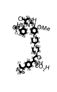 COc1cc(N2CCC(N3CCN(C(=O)CC(NC(=O)O)c4ccc(-c5scnc5C)cc4)CC3)CC2)ccc1Nc1ncc(Cl)c(Nc2ccccc2P(C)(C)=O)n1